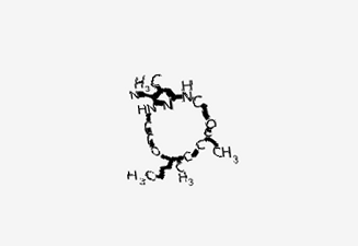 CCCCC1COCCCNc2nc(cc(C)c2C#N)NCCCOCC(CC)CCCC1C